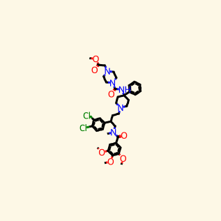 COC(=O)CN1CCN(C(=O)NC2(c3ccccc3)CCN(CCC(CN(C)C(=O)c3cc(OC)c(OC)c(OC)c3)c3ccc(Cl)c(Cl)c3)CC2)CC1